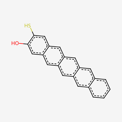 Oc1cc2cc3cc4cc5ccccc5cc4cc3cc2cc1S